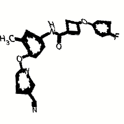 Cc1cc(NC(=O)C2CC(Oc3ccc(F)cc3)C2)ccc1Oc1ccc(C#N)cn1